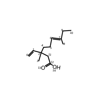 C=CC(C)(CC/C=C(\C)CC)CC(=O)O